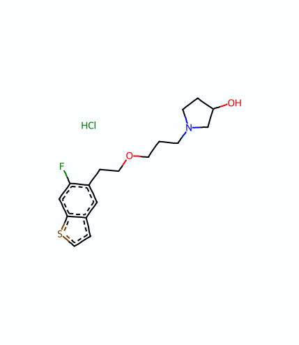 Cl.OC1CCN(CCCOCCc2cc3ccsc3cc2F)C1